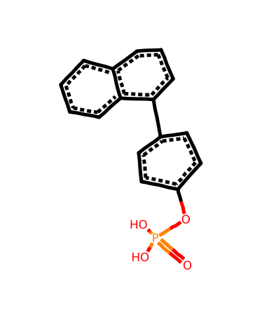 O=P(O)(O)Oc1ccc(-c2cccc3ccccc23)cc1